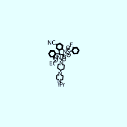 CCOc1ccccc1C1(NC(=O)N2CCC(N3CCN(C(C)C)CC3)CC2)C(=O)N(S(=O)(=O)c2ccccc2F)c2ccc(C#N)cc21